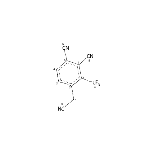 N#CCc1ccc(C#N)c(C#N)c1C(F)(F)F